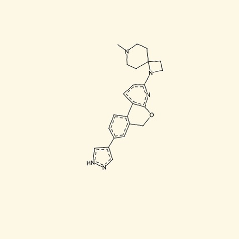 CN1CCC2(CC1)CCN2c1ccc2c(n1)OCc1cc(-c3cn[nH]c3)ccc1-2